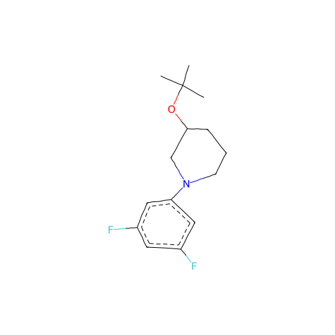 CC(C)(C)OC1CCCN(c2cc(F)cc(F)c2)C1